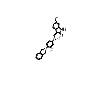 O=C1Nc2cc(F)ccc2C1=CNc1ccc(N2Cc3ccccc3C2)c(F)c1